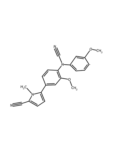 COc1[c]ccc(N(C#N)c2ccc(-c3ccc(C#N)n3C)cc2OC)c1